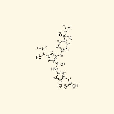 CC(C)C(O)c1cc(C(=O)Nc2nc(CC(=O)O)c(Cl)s2)n(Cc2ccc(S(=O)(=O)C3CC3)cc2)c1